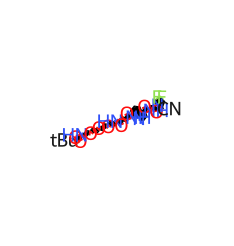 CC(C)(C)OC(=O)NCCOCCOCCOCCNC(=O)CCC(=O)Nc1cccc2c(C(=O)NCC(=O)N3CC(F)(F)C[C@H]3C#N)ccnc12